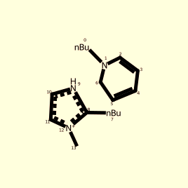 CCCCN1C=CC=CC1.CCCCc1[nH]cc[n+]1C